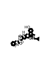 NC(=O)[C@H](Cc1ccccc1)NC(=O)c1cc2c([nH]c1=O)C[C@@]13CC4(CN(CC5CC5)[C@H]4[C@]1(O)C2)c1ccc(O)cc13